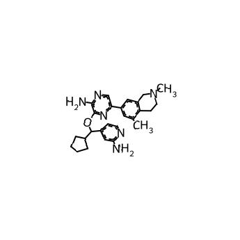 Cc1cc(-c2cnc(N)c(OC(c3ccnc(N)c3)C3CCCC3)n2)cc2c1CCN(C)C2